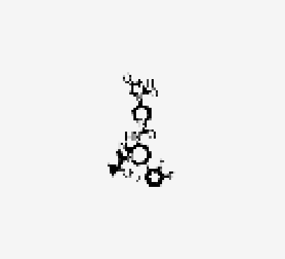 O=C1CN(C2CCN(C(=O)N[C@@H]3CC[C@@H](c4cccc(F)c4F)Cn4c(C5(C(F)(F)F)CC5)cnc43)CC2)C(=O)N1